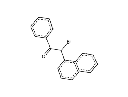 O=C(c1ccccc1)C(Br)c1cccc2ccccc12